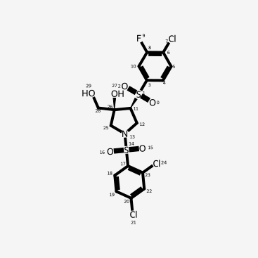 O=S(=O)(c1ccc(Cl)c(F)c1)[C@H]1CN(S(=O)(=O)c2ccc(Cl)cc2Cl)C[C@]1(O)CO